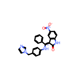 O=C1Nc2ccc([N+](=O)[O-])cc2/C1=C(/Nc1ccc(Cn2ccnc2)cc1)c1ccccc1